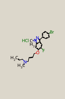 C=CCN(C)CC=CCOc1cc2c(cc1F)c(-c1ccc(Br)cc1)nn2C.Cl